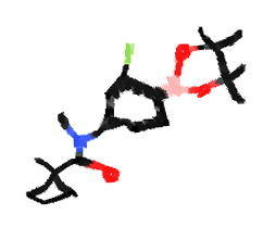 CN(C(=O)C1(C)CC1)c1ccc(B2OC(C)(C)C(C)(C)O2)c(F)c1